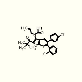 C=CCN(C(=O)O)c1c(C(=O)C(C)(C)C)oc2nc(-c3ccccc3Cl)c(-c3ccc(Cl)cc3)cc12